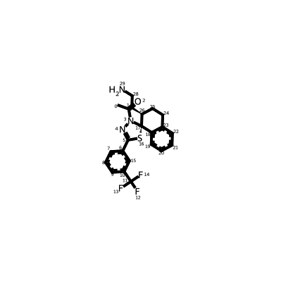 CC(=O)N1N=C(c2cccc(C(F)(F)F)c2)S[C@]12c1ccccc1CC[C@@H]2CCN